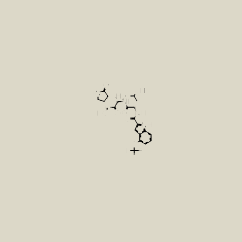 COC(=O)[C@H](C[C@@H]1CCNC1=O)NC(=O)[C@H](CC(C)C)NC(=O)c1cc2c(OC(F)(F)F)cccc2[nH]1